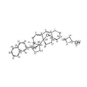 C[C@]12CC=C3C=C4CC[C@H](N5CC(O)C5)C[C@]45CCC3(O5)[C@@H]1CCC2c1ccc2ccccc2c1